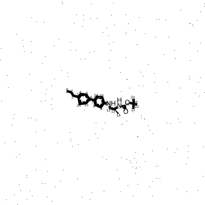 CCCc1ccc(-c2ccc(NC[C@H](C)NC(=O)OC(C)(C)C)cc2)cc1